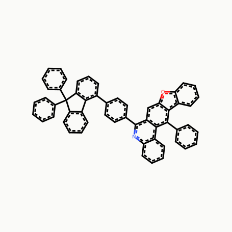 c1ccc(-c2c3c(cc4c(-c5ccc(-c6cccc7c6-c6ccccc6C7(c6ccccc6)c6ccccc6)cc5)nc5ccccc5c24)oc2ccccc23)cc1